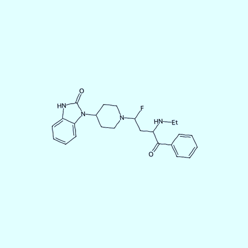 CCNC(CC(F)N1CCC(n2c(=O)[nH]c3ccccc32)CC1)C(=O)c1ccccc1